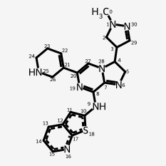 CN1CC(C2CN=C3C(Nc4cc5cccnc5s4)=NC(C4=CCCNC4)=CN32)C=N1